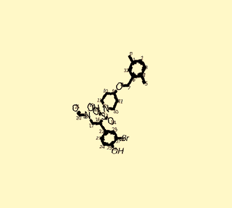 Cc1ccc(C)c(COC2CCN(S(=O)(=O)C(CN(O)C=O)c3ccc(O)c(Br)c3)CC2)c1